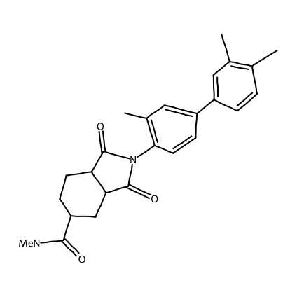 CNC(=O)C1CCC2C(=O)N(c3ccc(-c4ccc(C)c(C)c4)cc3C)C(=O)C2C1